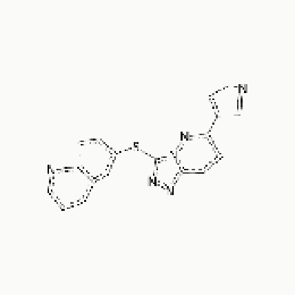 C1=NCC=C1c1ccc2nnc(Sc3ccc4ncccc4c3)n2n1